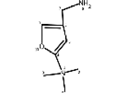 C[Si](C)(C)c1cc(CN)co1